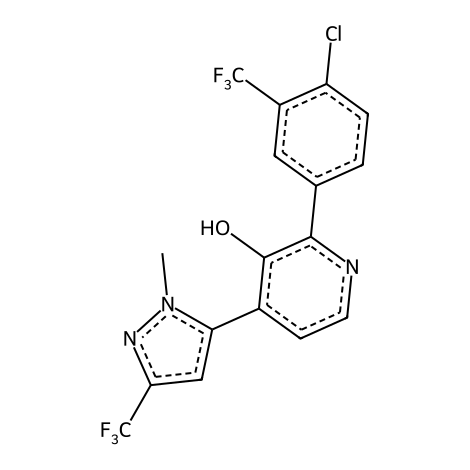 Cn1nc(C(F)(F)F)cc1-c1ccnc(-c2ccc(Cl)c(C(F)(F)F)c2)c1O